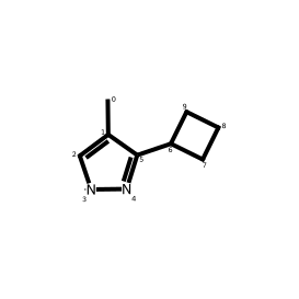 CC1=C[N]N=C1C1CCC1